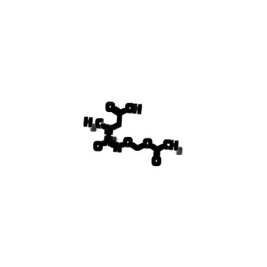 CC(=O)OCO/N=[N+](/[O-])N(C)CC(=O)O